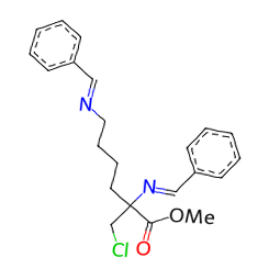 COC(=O)C(CCl)(CCCC/N=C/c1ccccc1)/N=C/c1ccccc1